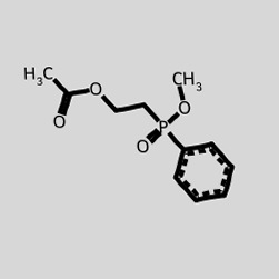 COP(=O)(CCOC(C)=O)c1ccccc1